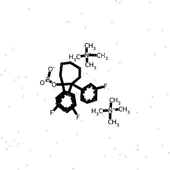 C[N+](C)(C)C.C[N+](C)(C)C.[O-]B([O-])OC1(c2cccc(F)c2)CCCCCC1(c1cccc(F)c1)c1cccc(F)c1